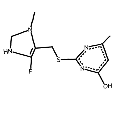 Cc1cc(O)nc(SCC2=C(F)NCN2C)n1